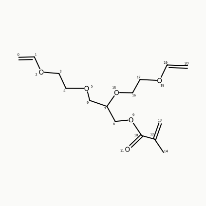 C=COCCOCC(COC(=O)C(=C)C)OCCOC=C